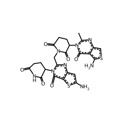 Cc1nc2csc(N)c2c(=O)n1C1CCC(=O)N(Cc2nc3cc(N)sc3c(=O)n2C2CCC(=O)NC2=O)C1=O